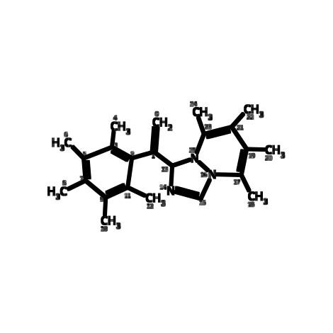 C=C(c1c(C)c(C)c(C)c(C)c1C)C1N=CN2C(C)=C(C)C(C)=C(C)N12